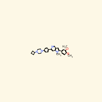 COc1ccc(-c2cc3cnc(-c4ccc(N5CCN(C6CCC6)CC5)cc4)cc3n2C)cc1OC